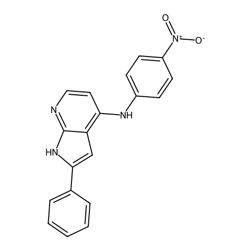 O=[N+]([O-])c1ccc(Nc2ccnc3[nH]c(-c4ccccc4)cc23)cc1